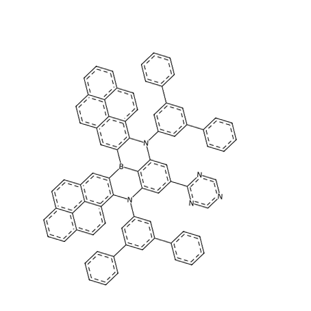 c1ccc(-c2cc(-c3ccccc3)cc(N3c4cc(-c5ncncn5)cc5c4B(c4cc6ccc7cccc8ccc(c43)c6c78)c3cc4ccc6cccc7ccc(c3N5c3cc(-c5ccccc5)cc(-c5ccccc5)c3)c4c67)c2)cc1